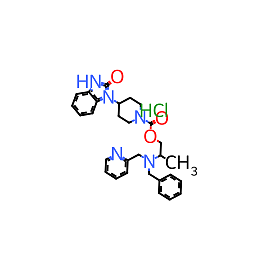 CC(COC(=O)N1CCC(n2c(=O)[nH]c3ccccc32)CC1)N(Cc1ccccc1)Cc1ccccn1.Cl